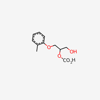 Cc1ccccc1OCC(CO)OC(=O)O